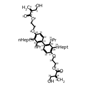 C=C(CO)C(=O)OCCOc1ccc(-c2ccc(OCCOC(=O)C(=C)CO)c(CCCCCCC)c2CCC)c(CCC)c1CCCCCCC